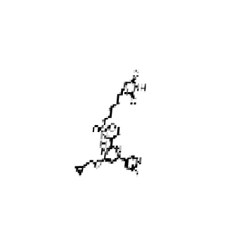 CCC(NS(=O)(=O)CCCCCN1CC(=O)NC1=O)c1nc(OCC2CC2)cc(-c2cnn(C)c2)n1